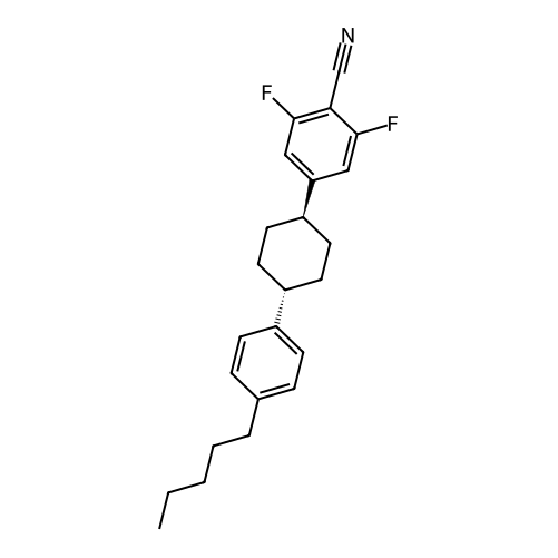 CCCCCc1ccc([C@H]2CC[C@H](c3cc(F)c(C#N)c(F)c3)CC2)cc1